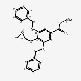 CC(C)(C)OC(=O)c1cc(OCc2ccccc2)c(CC2CO2)c(OCc2ccccc2)c1